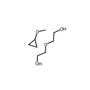 COC1CC1.OCCOCCO